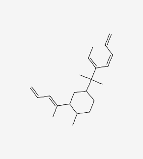 C=C/C=C\C(=C/C)C(C)(C)C1CCC(C)C(/C(C)=C/C=C)C1